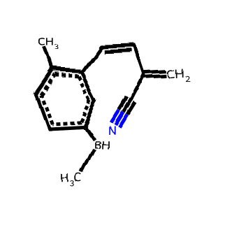 C=C(C#N)/C=C\c1cc(BC)ccc1C